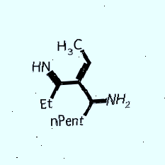 C/C=C(\C(=N)CC)C(N)CCCCC